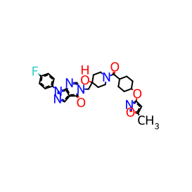 Cc1cc(OC2CCC(C(=O)N3CCC(O)(Cn4cnc5c(cnn5-c5ccc(F)cc5)c4=O)CC3)CC2)no1